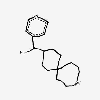 OC(c1ccncc1)C1CCC2(CCNCC2)CC1